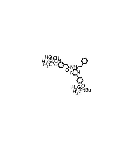 CC(C)(Cc1ccc(CC(=O)Nc2ncc(-c3ccc(O[Si](C)(C)C(C)(C)C)cc3)nc2CCc2ccccc2)cc1)[Si](C)(C)O